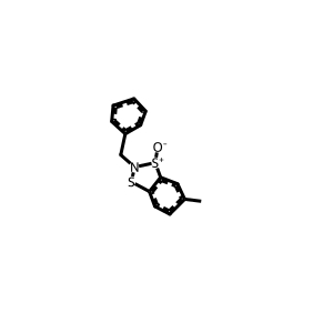 Cc1ccc2c(c1)[S+]([O-])N(Cc1ccccc1)S2